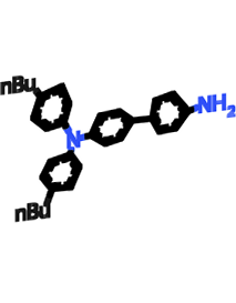 CCCCc1ccc(N(c2ccc(CCCC)cc2)c2ccc(-c3ccc(N)cc3)cc2)cc1